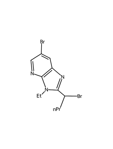 CCCC(Br)c1nc2cc(Br)cnc2n1CC